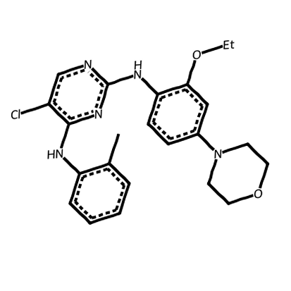 CCOc1cc(N2CCOCC2)ccc1Nc1ncc(Cl)c(Nc2ccccc2C)n1